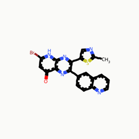 Cc1ncc(-c2nc3[nH]c(Br)cc(=O)c3nc2-c2ccc3ncccc3c2)s1